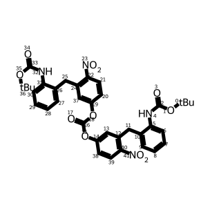 CC(C)(C)OC(=O)Nc1ccccc1Cc1cc(OC(=O)Oc2ccc([N+](=O)[O-])c(Cc3ccccc3NC(=O)OC(C)(C)C)c2)ccc1[N+](=O)[O-]